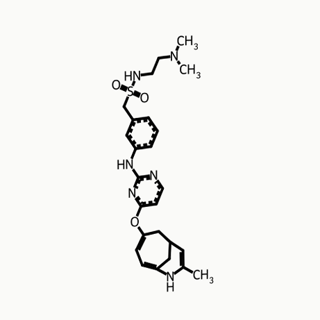 CC1=CC2CC(=CC=C(Oc3ccnc(Nc4cccc(CS(=O)(=O)NCCN(C)C)c4)n3)C2)N1